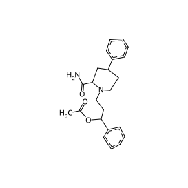 CC(=O)OC(CCN1CCC(c2ccccc2)CC1C(N)=O)c1ccccc1